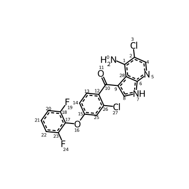 Nc1c(Cl)cnc2[nH]cc(C(=O)c3ccc(Oc4c(F)cccc4F)cc3Cl)c12